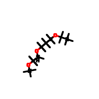 C[SiH](OC(C)(C)C(C)(C)[Si](C)(C)OC(C)(C)[Si](C)(C)C)C(C)(C)O[Si](C)(C)C